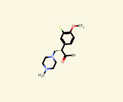 CC(C)C(=O)[C@H](CN1CCN(C)CC1)c1ccc(OC(F)(F)F)c(F)c1